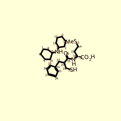 C1CCC(NC2CCCCC2)CC1.CSCC[C@H](NC(=O)C(CS)Cc1ccccc1)C(=O)O